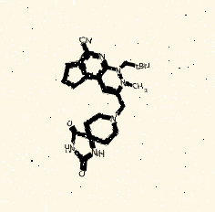 CN1C(CN2CCC3(CC2)NC(=O)NC3=O)=Cc2c(nc(C#N)c3c2CCC3)N1CC(C)(C)C